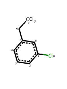 Clc1cccc(CC(Cl)(Cl)Cl)c1